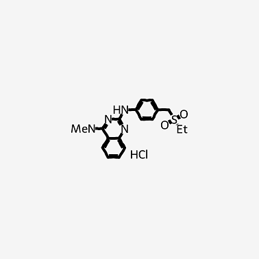 CCS(=O)(=O)Cc1ccc(Nc2nc(NC)c3ccccc3n2)cc1.Cl